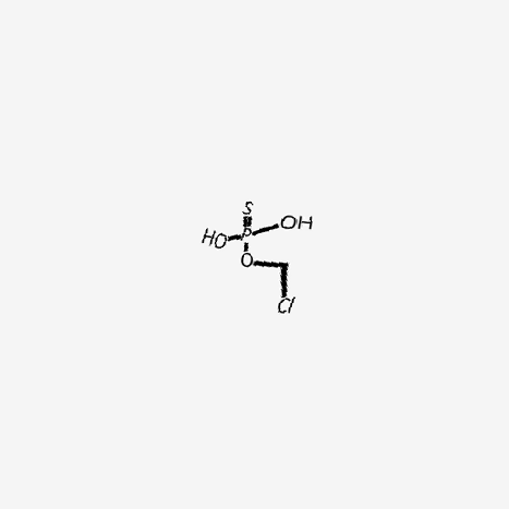 OP(O)(=S)OCCl